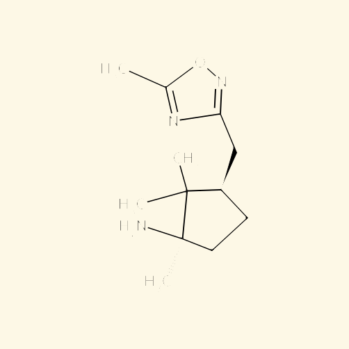 Cc1nc(C[C@H]2CC[C@@](C)(N)C2(C)C)no1